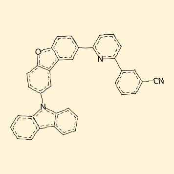 N#Cc1cccc(-c2cccc(-c3ccc4oc5ccc(-n6c7ccccc7c7ccccc76)cc5c4c3)n2)c1